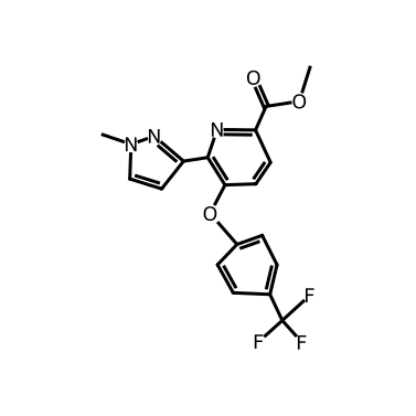 COC(=O)c1ccc(Oc2ccc(C(F)(F)F)cc2)c(-c2ccn(C)n2)n1